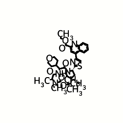 CCOC(=O)c1cc(-c2csc([C@@H]3CCCN3C(=O)[C@@H](NC(=O)[C@H](C)N(C)C(=O)OC(C)(C)C)C3CCOCC3)n2)c2ccccc2n1